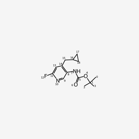 CC(C)(C)OC(=O)Nc1cnc(F)cc1CC1CC1